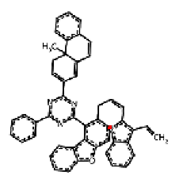 C=Cc1c(/C=C\Cc2ccc3oc4ccccc4c3c2-c2nc(C3=CCC4(C)C(=C3)C=Cc3ccccc34)nc(-c3ccccc3)n2)oc2ccccc12